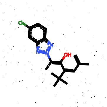 C=C(C)/C=C(\C(O)=C(/C)n1nc2ccc(Cl)cc2n1)C(C)(C)C